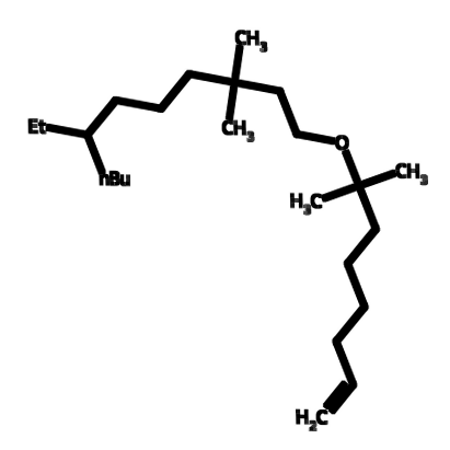 C=CCCCCC(C)(C)OCCC(C)(C)CCCC(CC)CCCC